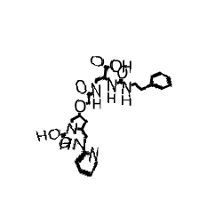 O=C(COC1CC(CNc2ccccn2)N(C(=O)O)C1)NCC(NC(=O)NCCc1ccccc1)C(=O)O